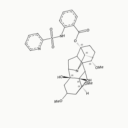 COC1C[C@]2(O)C3CC4C5(C6CC1[C@H](OC)[C@@]62O)[C@@H](OC)CC[C@@]4(OC(=O)c1ccccc1NS(=O)(=O)c1ccccn1)[C@H](C)N35